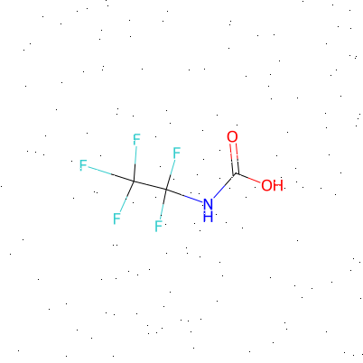 O=C(O)NC(F)(F)C(F)(F)F